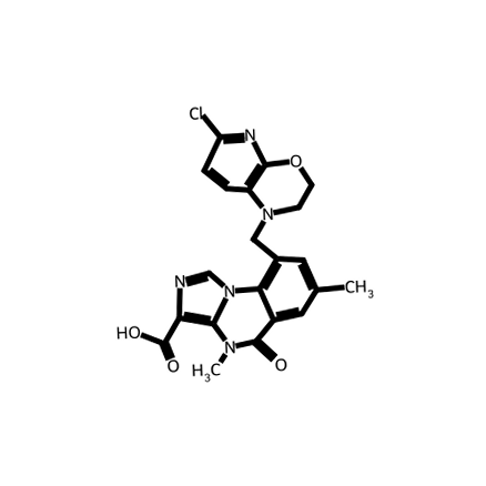 Cc1cc(CN2CCOc3nc(Cl)ccc32)c2c(c1)c(=O)n(C)c1c(C(=O)O)ncn21